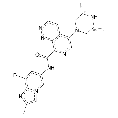 Cc1cn2cc(NC(=O)c3ncc(N4C[C@@H](C)N[C@@H](C)C4)c4ccnnc34)cc(F)c2n1